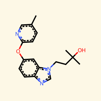 Cc1ccc(Oc2ccc3ncn(CCC(C)(C)O)c3c2)nc1